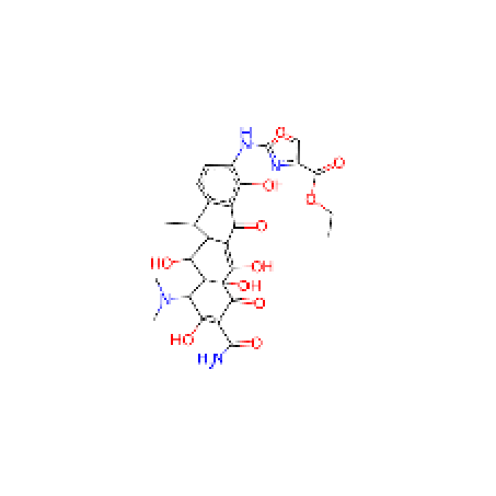 CCOC(=O)c1coc(Nc2ccc3c(c2O)C(=O)C2=C(O)C4(O)C(=O)C(C(N)=O)=C(O)C(N(C)C)C4C(O)C2C3C)n1